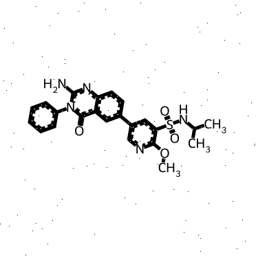 COc1ncc(-c2ccc3nc(N)n(-c4ccccc4)c(=O)c3c2)cc1S(=O)(=O)NC(C)C